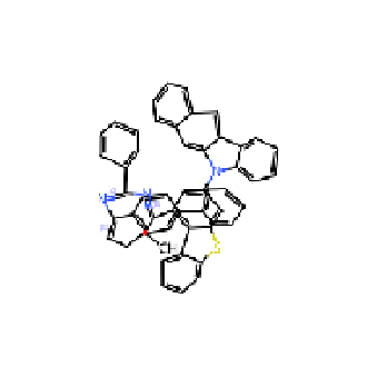 CC1C/C=C(c2ccc(-c3ccccc3)cc2)/N=C(c2ccccc2)\N=C/1c1cc(-n2c3ccccc3c3cc4ccccc4cc32)cc2sc3ccccc3c12